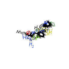 CNC(=O)C(=N)c1cnc(-c2c(F)ccc(N[SH](S)c3cc(Cl)cnc3C)c2F)c(F)c1N